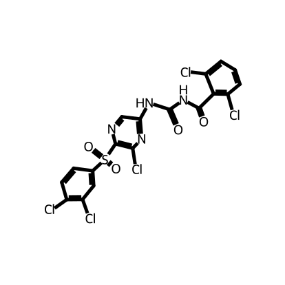 O=C(NC(=O)c1c(Cl)cccc1Cl)Nc1cnc(S(=O)(=O)c2ccc(Cl)c(Cl)c2)c(Cl)n1